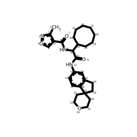 Cc1nocc1C(=O)NC(C(=O)Nc1ccc2c(c1)CCC21CCOCC1)C1CCCCCCC1